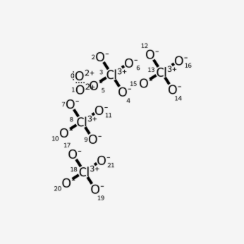 [O+2].[O+2].[O-][Cl+3]([O-])([O-])[O-].[O-][Cl+3]([O-])([O-])[O-].[O-][Cl+3]([O-])([O-])[O-].[O-][Cl+3]([O-])([O-])[O-]